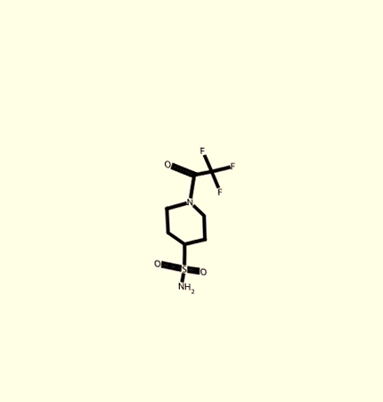 NS(=O)(=O)C1CCN(C(=O)C(F)(F)F)CC1